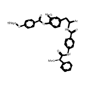 CCCCCCCOc1ccc(C(=O)Oc2ccc(CC(NC(=O)c3ccc(NC(=O)[C@H](OC)c4ccccc4)cc3)C(C)=O)cc2OC)cc1